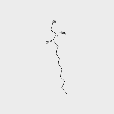 CCCCCCCCOC(=O)[C@@H](N)CS